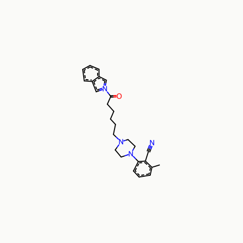 Cc1cccc(N2CCN(CCCCCC(=O)n3cc4ccccc4c3)CC2)c1C#N